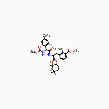 COc1ccc(C(NC(=O)OC(C)(C)C)C(=O)NC(Cc2cccc(C(=O)OC(C)(C)C)c2OC)B2OC3CCC(C)(C)[C@H](C)C3(C)O2)c(F)c1